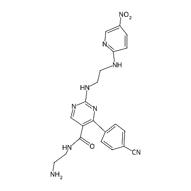 N#Cc1ccc(-c2nc(NCCNc3ccc([N+](=O)[O-])cn3)ncc2C(=O)NCCN)cc1